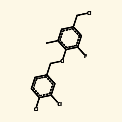 Cc1cc(CCl)cc(F)c1OCc1ccc(Cl)c(Cl)c1